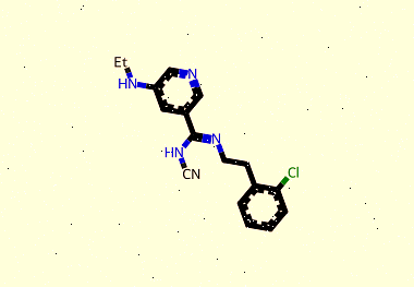 CCNc1cncc(/C(=N/CCc2ccccc2Cl)NC#N)c1